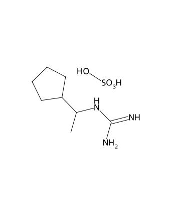 CC(NC(=N)N)C1CCCC1.O=S(=O)(O)O